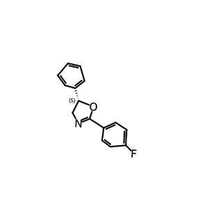 Fc1ccc(C2=NC[C@H](c3ccccc3)O2)cc1